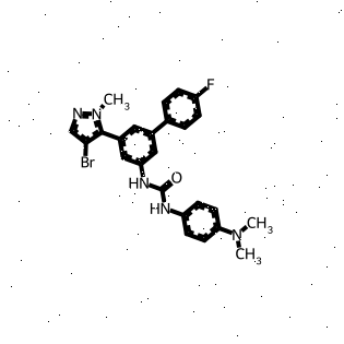 CN(C)c1ccc(NC(=O)Nc2cc(-c3ccc(F)cc3)cc(-c3c(Br)cnn3C)c2)cc1